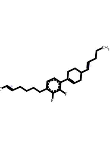 C/C=C/CCCCc1ccc(C2=CCC(/C=C/CCC)CC2)c(F)c1F